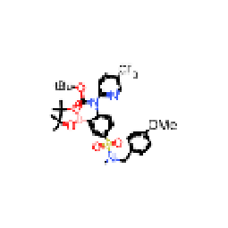 COc1ccc(CN(C)S(=O)(=O)c2ccc(N(C(=O)OC(C)(C)C)c3ccc(C(F)(F)F)cn3)c(B3OC(C)(C)C(C)(C)O3)c2)cc1